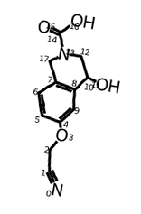 N#CCOc1ccc2c(c1)C(O)CN(C(=O)O)C2